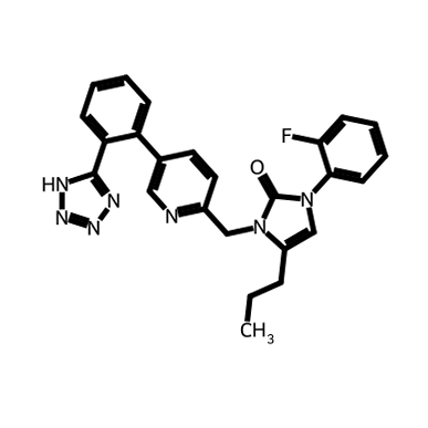 CCCc1cn(-c2ccccc2F)c(=O)n1Cc1ccc(-c2ccccc2-c2nnn[nH]2)cn1